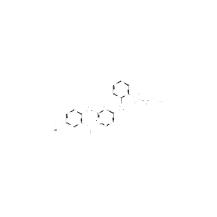 CCCNS(=O)(=O)c1ccccc1Nc1nc(Nc2ccc(P(C)(C)=O)cc2OC)ncc1Cl